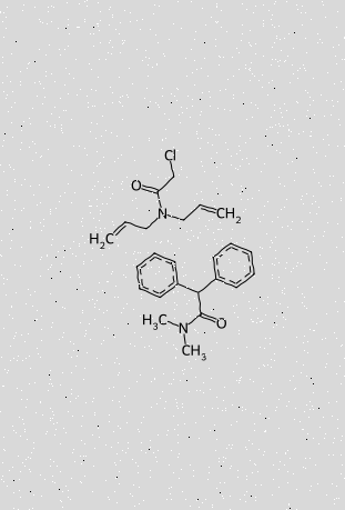 C=CCN(CC=C)C(=O)CCl.CN(C)C(=O)C(c1ccccc1)c1ccccc1